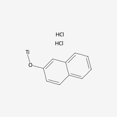 Cl.Cl.[Ti][O]c1ccc2ccccc2c1